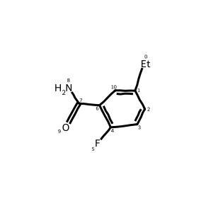 CCc1ccc(F)c(C(N)=O)c1